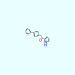 O=C(Cc1ccc(-c2ccccc2)cc1)c1ccc[nH]1